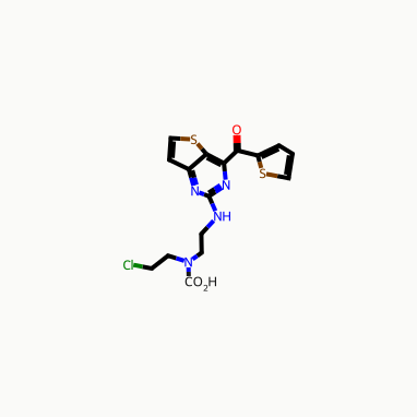 O=C(c1cccs1)c1nc(NCCN(CCCl)C(=O)O)nc2ccsc12